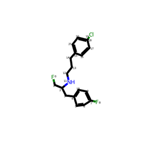 FCC(Cc1ccc(F)cc1)NCCCc1ccc(Cl)cc1